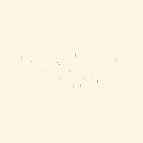 CCOC[C@@H](C)N(C)CN1[C@H](Cl)NC(NC[C@H](C)O)=N[C@@H]1C